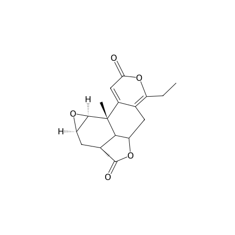 CCc1oc(=O)cc2c1CC1OC(=O)[C@@]3(C)C[C@H]4O[C@H]4[C@@]2(C)C13